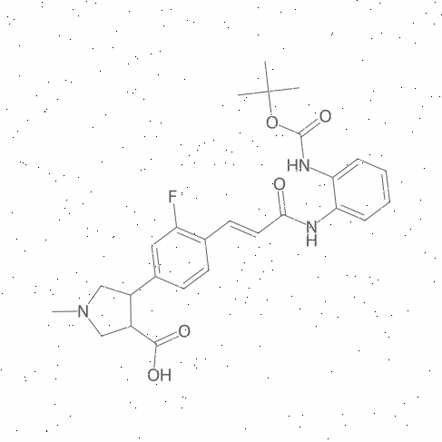 CN1CC(C(=O)O)C(c2ccc(C=CC(=O)Nc3ccccc3NC(=O)OC(C)(C)C)c(F)c2)C1